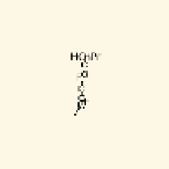 C=CCCCOc1ccc(C2CCC(CCc3ccc(C4CCC(C(O)CCC)CC4)c(F)c3F)CC2)cc1F